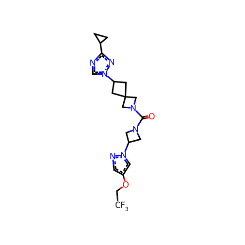 O=C(N1CC(n2cc(OCC(F)(F)F)cn2)C1)N1CC2(CC(n3cnc(C4CC4)n3)C2)C1